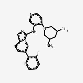 CC1CC(N)CN(c2ccncc2Nc2ncc3ccc(-c4ncccc4F)nn23)C1